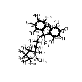 [2H]c1c([2H])c([2H])c([C@@](C)(OC([2H])([2H])C([2H])([2H])[C@]2([2H])N(C)C([2H])([2H])C([2H])([2H])C2([2H])[2H])c2c([2H])c([2H])c(Cl)c([2H])c2[2H])c([2H])c1[2H]